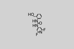 O=C(Nc1cc(F)nc(F)c1)Nc1ccccc1CO